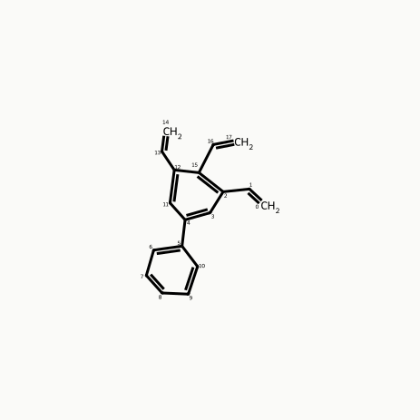 C=Cc1cc(-c2ccccc2)cc(C=C)c1C=C